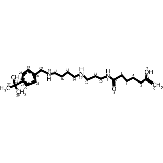 C=C(O)CCCCC(=O)NCCCNCCCCNCc1ccc(C(C)(C)C)cc1